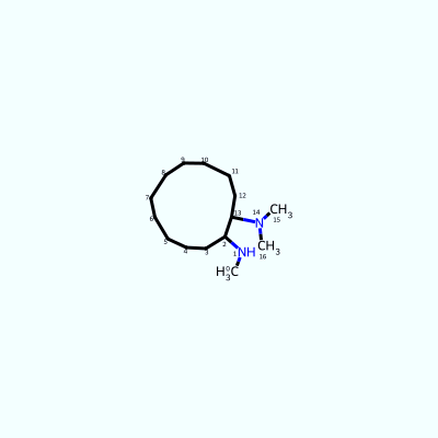 CNC1CCCCCCCCCCC1N(C)C